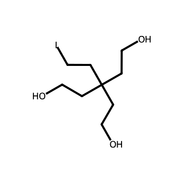 OCCC(CCO)(CCO)CCI